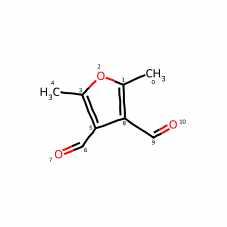 Cc1oc(C)c(C=O)c1C=O